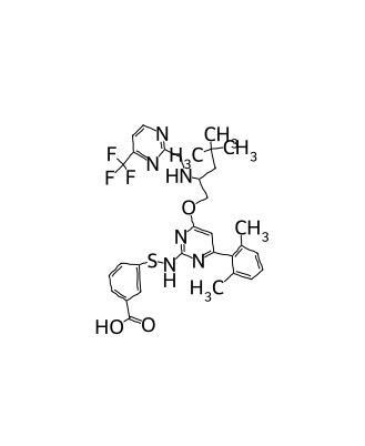 Cc1cccc(C)c1-c1cc(OCC(CC(C)(C)C)NCc2nccc(C(F)(F)F)n2)nc(NSc2cccc(C(=O)O)c2)n1